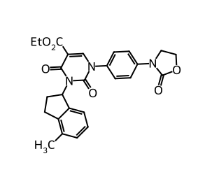 CCOC(=O)c1cn(-c2ccc(N3CCOC3=O)cc2)c(=O)n(C2CCc3c(C)cccc32)c1=O